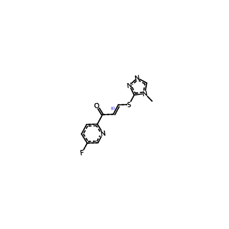 Cn1cnnc1S/C=C/C(=O)c1ccc(F)cn1